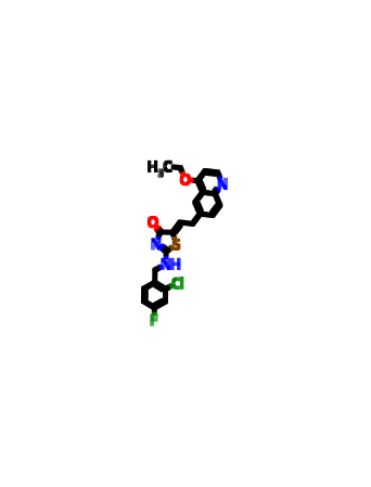 CCOc1ccnc2ccc(C/C=C3\SC(NCc4ccc(F)cc4Cl)=NC3=O)cc12